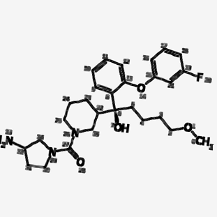 COCCCC[C@@](O)(c1ccccc1Oc1cccc(F)c1)C1CCCN(C(=O)N2CCC(N)C2)C1